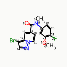 COc1cc(N(C)C(=O)c2ccn3ncc(Br)c3c2)ccc1F